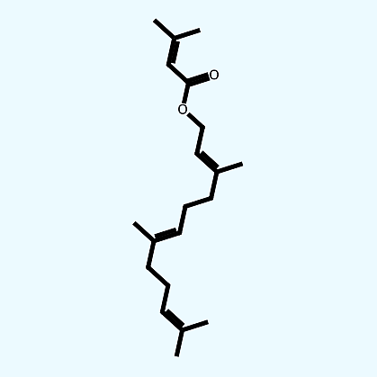 CC(C)=CCCC(C)=CCCC(C)=CCOC(=O)C=C(C)C